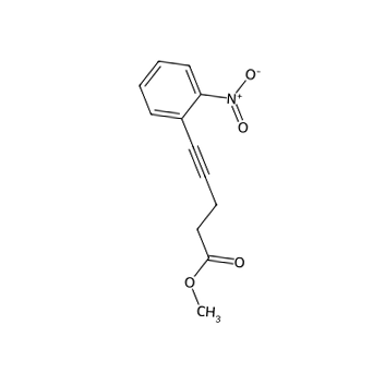 COC(=O)CCC#Cc1ccccc1[N+](=O)[O-]